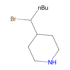 CCCCC(Br)C1CCNCC1